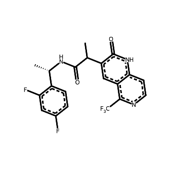 CC(C(=O)N[C@@H](C)c1ccc(F)cc1F)c1cc2c(C(F)(F)F)nccc2[nH]c1=O